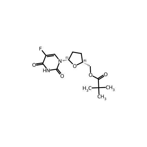 CC(C)(C)C(=O)OC[C@H]1CC[C@@H](n2cc(F)c(=O)[nH]c2=O)O1